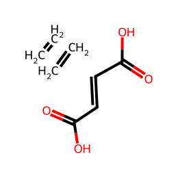 C=C.C=C.O=C(O)C=CC(=O)O